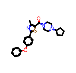 Cc1nc(-c2ccc(Oc3ccccc3)cc2)sc1C(=O)N1CCN(C2CCCC2)CC1